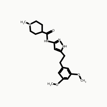 COc1cc(CCc2cc(NC(=O)C3CCN(C)CC3)n[nH]2)cc(OC)c1